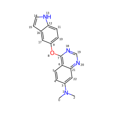 CN(C)c1ccc2c(Oc3ccc4[nH]ccc4c3)ncnc2c1